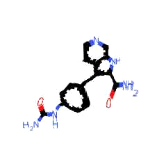 NC(=O)Nc1ccc(-c2c(C(N)=O)[nH]c3cnccc23)cc1